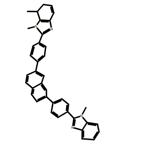 CC1CC=Cc2nc(-c3ccc(-c4ccc5ccc(-c6ccc(-c7nc8ccccc8n7C)cc6)cc5c4)cc3)n(C)c21